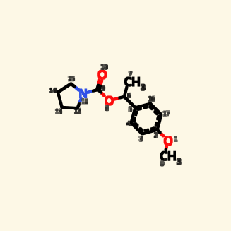 COc1ccc(C(C)OC(=O)N2CCCC2)cc1